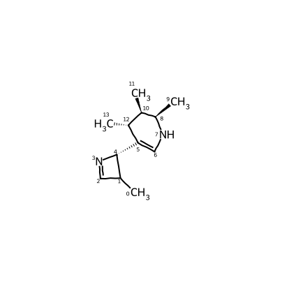 CC1C=N[C@@H]1C1=CN[C@H](C)[C@H](C)[C@H]1C